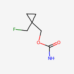 [NH]C(=O)OCC1(CF)CC1